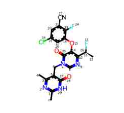 Cc1nc(C)c(Cn2cnc([C@H](C)F)c(Oc3cc(Cl)cc(C#N)c3F)c2=O)c(=O)[nH]1